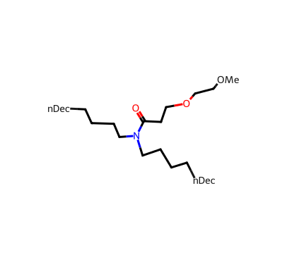 CCCCCCCCCCCCCCN(CCCCCCCCCCCCCC)C(=O)CCOCCOC